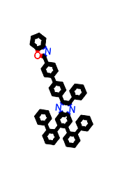 c1ccc(-c2ccccc2-c2cc3nc(-c4ccccc4)c(-c4ccc(-c5ccc(-c6nc7ccccc7o6)cc5)cc4)nc3cc2-c2ccccc2-c2ccccc2)cc1